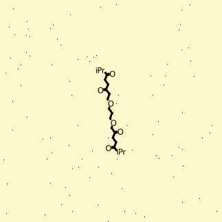 CC(C)C(=O)CCC(=O)CCOCCCOCC(=O)CCC(=O)C(C)C